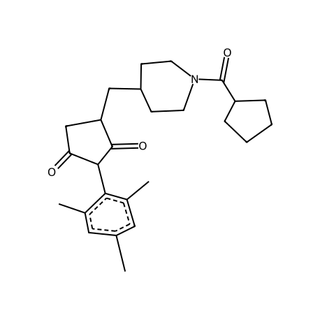 Cc1cc(C)c(C2C(=O)CC(CC3CCN(C(=O)C4CCCC4)CC3)C2=O)c(C)c1